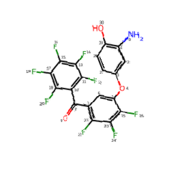 Nc1cc(Oc2cc(C(=O)c3c(F)c(F)c(F)c(F)c3F)c(F)c(F)c2F)ccc1O